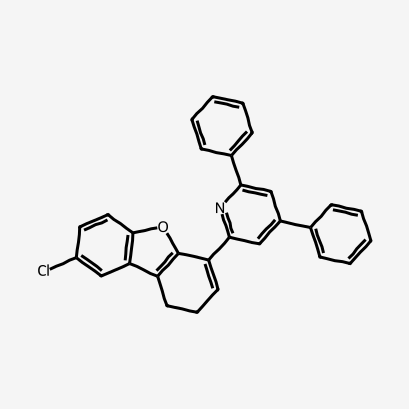 Clc1ccc2oc3c(c2c1)CCC=C3c1cc(-c2ccccc2)cc(-c2ccccc2)n1